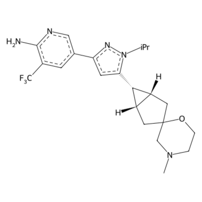 CC(C)n1nc(-c2cnc(N)c(C(F)(F)F)c2)cc1[C@@H]1[C@@H]2CC3(C[C@@H]21)CN(C)CCO3